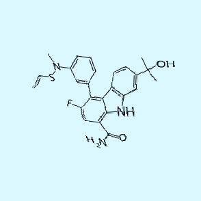 C=CSN(C)c1cccc(-c2c(F)cc(C(N)=O)c3[nH]c4cc(C(C)(C)O)ccc4c23)c1